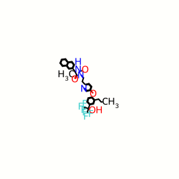 CCCc1cc(C(O)(C(F)(F)F)C(F)(F)F)ccc1Oc1ccc(CCN2C(=O)NC(C)(c3ccc4ccccc4c3)C2=O)nc1